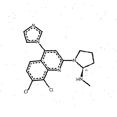 CN[C@@H]1CCCN1c1cc(-n2ccnc2)c2ccc(Cl)c(Cl)c2n1